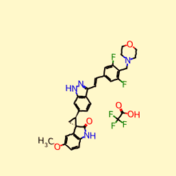 COc1ccc2c(c1)[C@]1(C[C@H]1c1ccc3c(/C=C/c4cc(F)c(CN5CCOCC5)c(F)c4)n[nH]c3c1)C(=O)N2.O=C(O)C(F)(F)F